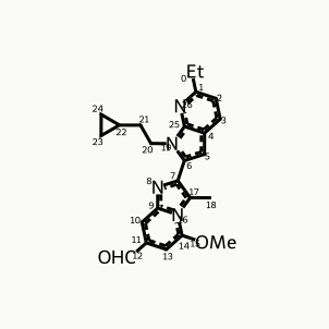 CCc1ccc2cc(-c3nc4cc(C=O)cc(OC)n4c3C)n(CCC3CC3)c2n1